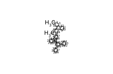 CC1C=Cc2c(c3c(c4ccccc24)=CC(c2ccc4c(c2)c2ccccc2n4-c2cc(-c4ccccc4)cc(-c4ccccc4)c2)C(C)C=3)C1